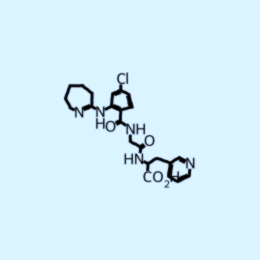 O=C(CNC(=O)c1ccc(Cl)cc1NC1=NCCCCC1)NC(Cc1cccnc1)C(=O)O